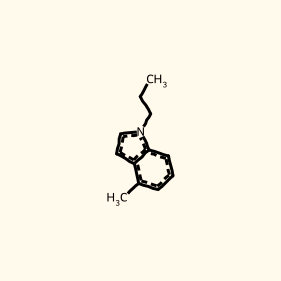 CCCn1ccc2c(C)cccc21